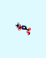 CCOC(=O)C1C2CCN(C(=O)OC(C)(C)C)CC21